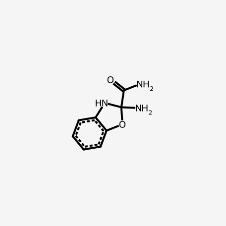 NC(=O)C1(N)Nc2ccccc2O1